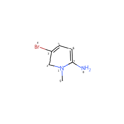 CN1CC(Br)=CC=C1N